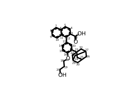 O=C(O)c1ccc2ccccc2c1-c1ccc(OCCCO)c(C23CC4CC(CC(C4)C2)C3)c1